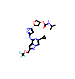 CC(C)NC(=O)O[C@H]1CO[C@@H](c2cc(Nc3nc(C4CC4)cn4nc(COC(F)(F)F)cc34)n[nH]2)[C@H]1F